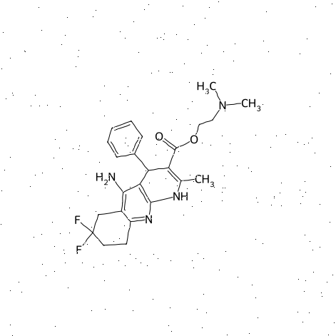 CC1=C(C(=O)OCCN(C)C)C(c2ccccc2)c2c(nc3c(c2N)CC(F)(F)CC3)N1